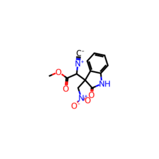 [C-]#[N+]C(C(=O)OC)C1(C[N+](=O)[O-])C(=O)Nc2ccccc21